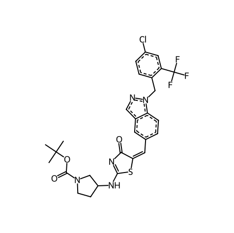 CC(C)(C)OC(=O)N1CCC(NC2=NC(=O)C(=Cc3ccc4c(cnn4Cc4ccc(Cl)cc4C(F)(F)F)c3)S2)C1